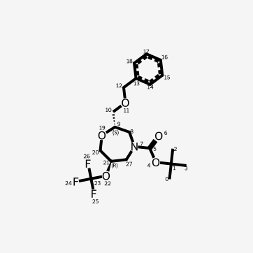 CC(C)(C)OC(=O)N1C[C@@H](COCc2ccccc2)OC[C@H](OC(F)(F)F)C1